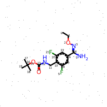 CCO/N=C(/N)c1cc(F)c(CNC(=O)OC(C)(C)C)c(F)c1